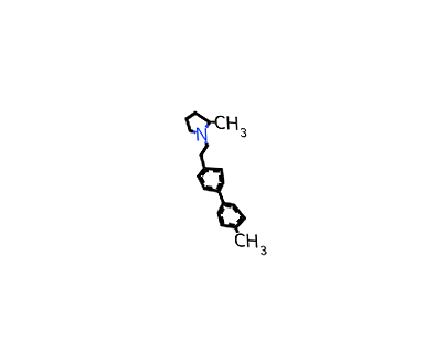 Cc1ccc(-c2ccc(CCN3CCC[C@H]3C)cc2)cc1